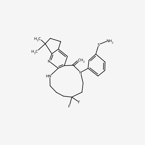 C=C1c2cc3c(nc2NCCCC(F)(F)CCN1c1cccc(SN)c1)C(C)(C)CC3